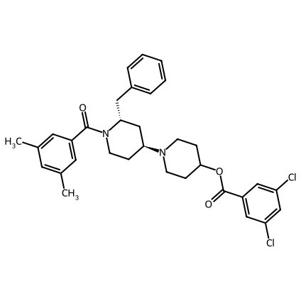 Cc1cc(C)cc(C(=O)N2CC[C@H](N3CCC(OC(=O)c4cc(Cl)cc(Cl)c4)CC3)C[C@H]2Cc2ccccc2)c1